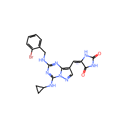 O=C1NC(=O)/C(=C\c2cnn3c(NC4CC4)nc(NCc4ccccc4Br)nc23)N1